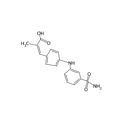 CC(=Cc1ccc(Nc2cccc(S(N)(=O)=O)c2)cc1)C(=O)O